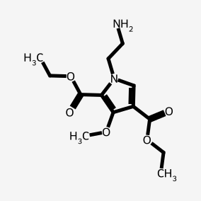 CCOC(=O)c1cn(CCN)c(C(=O)OCC)c1OC